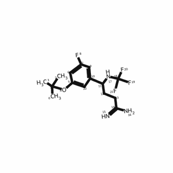 CC(C)(C)Oc1cc(F)cc(C(CCC(=N)N)NC(F)(F)F)c1